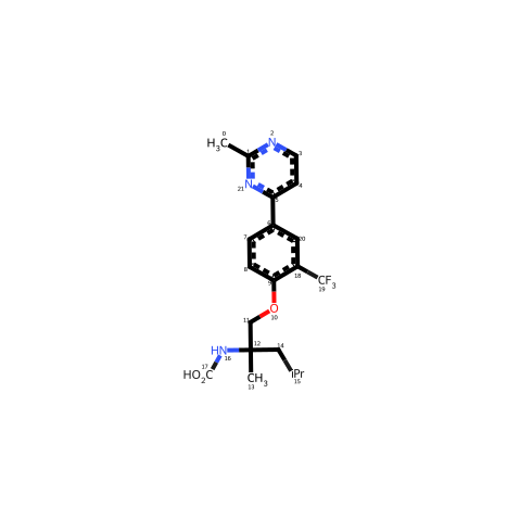 Cc1nccc(-c2ccc(OCC(C)(CC(C)C)NC(=O)O)c(C(F)(F)F)c2)n1